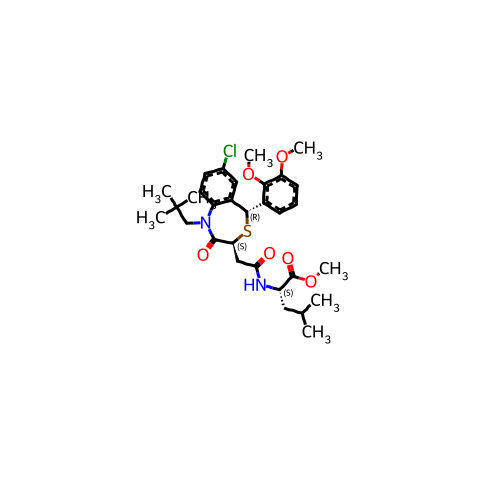 COC(=O)[C@H](CC(C)C)NC(=O)C[C@@H]1S[C@@H](c2cccc(OC)c2OC)c2cc(Cl)ccc2N(CC(C)(C)C)C1=O